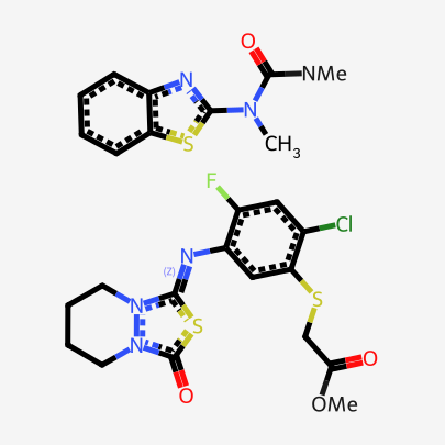 CNC(=O)N(C)c1nc2ccccc2s1.COC(=O)CSc1cc(/N=c2\sc(=O)n3n2CCCC3)c(F)cc1Cl